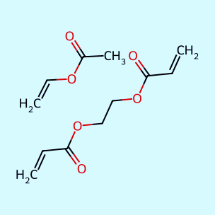 C=CC(=O)OCCOC(=O)C=C.C=COC(C)=O